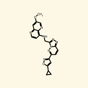 COc1cnc2c(NCc3nnc4ccc(-c5cc(C6CC6)on5)nn34)ccnc2c1